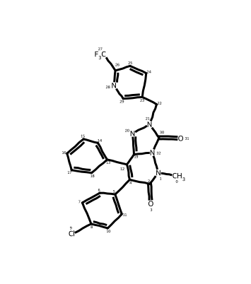 Cn1c(=O)c(-c2ccc(Cl)cc2)c(-c2ccccc2)c2nn(Cc3ccc(C(F)(F)F)nc3)c(=O)n21